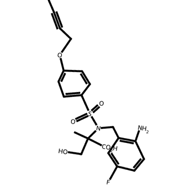 CC#CCOc1ccc(S(=O)(=O)N(Cc2cc(F)ccc2N)C(C)(CO)C(=O)O)cc1